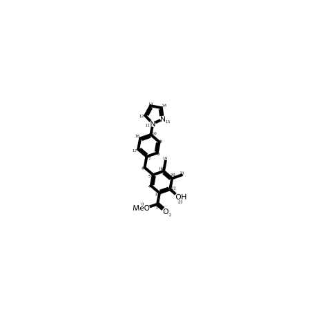 COC(=O)c1cc(Cc2ccc(-n3cccn3)cc2)c(C)c(C)c1O